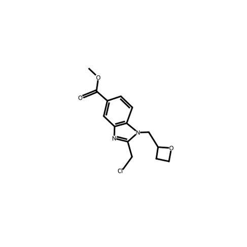 COC(=O)c1ccc2c(c1)nc(CCl)n2CC1CCO1